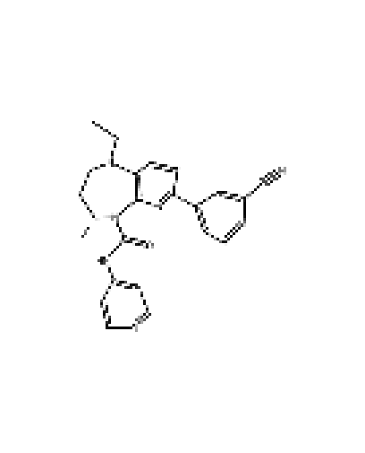 CCN1CC[C@@H](C)N(C(=O)Nc2ccncn2)c2nc(-c3cccc(C#N)c3)ccc21